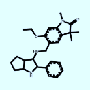 CCOc1cc2c(cc1CNC1C(c3ccccc3)NC3CCCC31)C(C)(C)C(=O)N2C